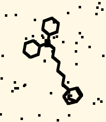 C1=CC2(CCCCCCB(C3CCCCC3)C3CCCCC3)CCC1C2